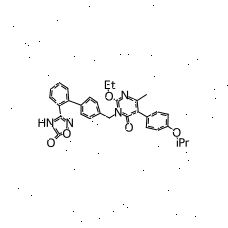 CCOc1nc(C)c(-c2ccc(OC(C)C)cc2)c(=O)n1Cc1ccc(-c2ccccc2-c2noc(=O)[nH]2)cc1